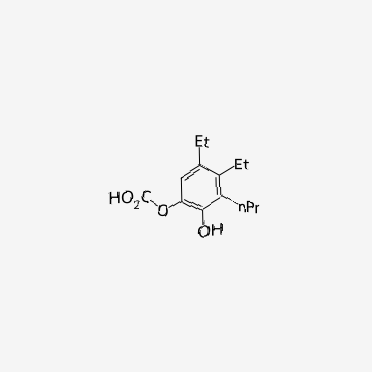 CCCc1c(O)c(OC(=O)O)cc(CC)c1CC